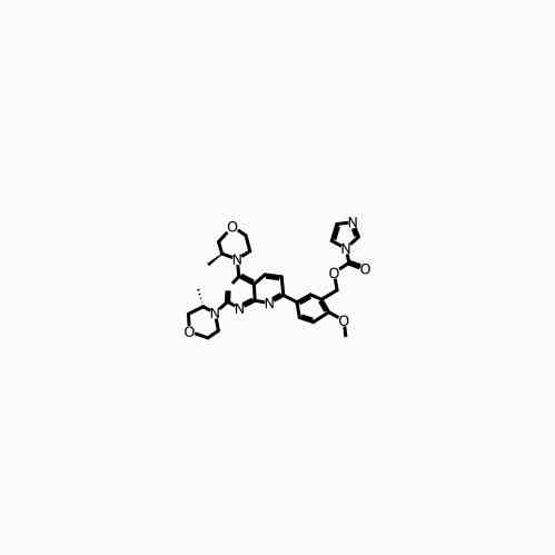 C=C(/N=C1/N=C(c2ccc(OC)c(COC(=O)n3ccnc3)c2)C=C/C1=C(/C)N1CCOC[C@@H]1C)N1CCOC[C@@H]1C